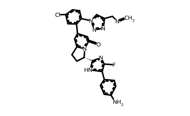 C=NCc1cn(-c2ccc(Cl)cc2-c2cc3n(c(=O)c2)[C@H](c2nc(F)c(-c4ccc(N)cc4)[nH]2)CC3)nn1